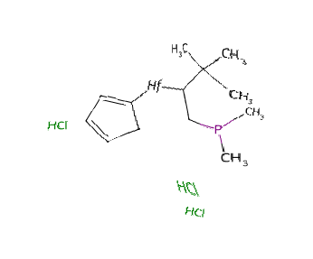 CP(C)C[CH]([Hf][C]1=CC=CC1)C(C)(C)C.Cl.Cl.Cl